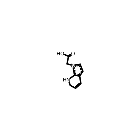 O=C(O)Cn1ccc2c1NCC=C2